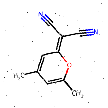 CC1=CC(=C(C#N)C#N)OC(C)=C1